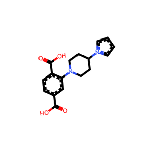 O=C(O)c1ccc(C(=O)O)c(N2CCC(n3cccc3)CC2)c1